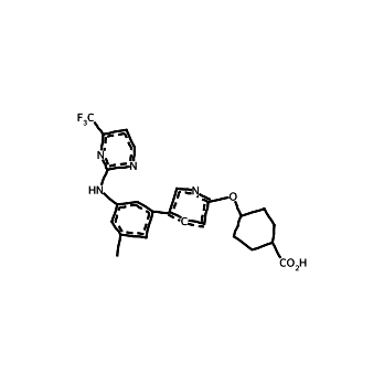 Cc1cc(Nc2nccc(C(F)(F)F)n2)cc(-c2ccc(OC3CCC(C(=O)O)CC3)nc2)c1